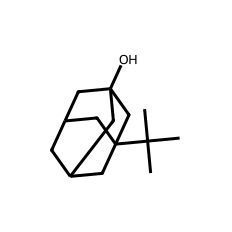 CC(C)(C)C12CC3CC(CC(O)(C3)C1)C2